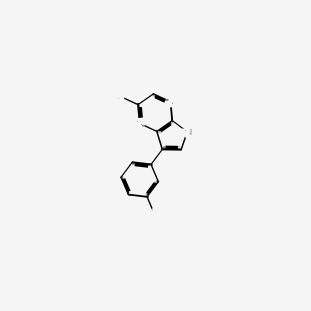 Brc1cccc(-c2c[nH]c3ncc(Br)nc23)c1